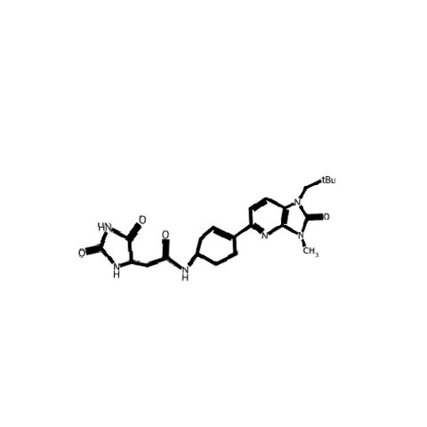 Cn1c(=O)n(CC(C)(C)C)c2ccc(C3=CCC(NC(=O)CC4NC(=O)NC4=O)CC3)nc21